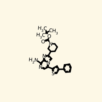 CC(C)(C)OC(=O)N1CCCC(c2cn3c(-c4cc(-c5ccccc5)cs4)cnc(N)c3n2)C1